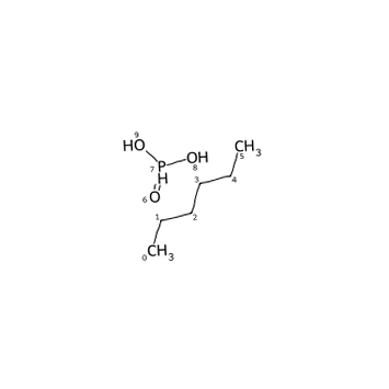 CCCCCC.O=[PH](O)O